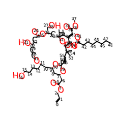 C=CCOC(=O)C[C@H]1CC2C[C@@H](CCCCO)OCC[C@@H](O)CC(=O)O[C@@H](CO)C[C@@H]3C/C(=C\C(=O)OC)[C@H](OC(=O)CCCCCCC)[C@@](O)(O3)C(C)(C)/C=C/[C@H](O2)O1